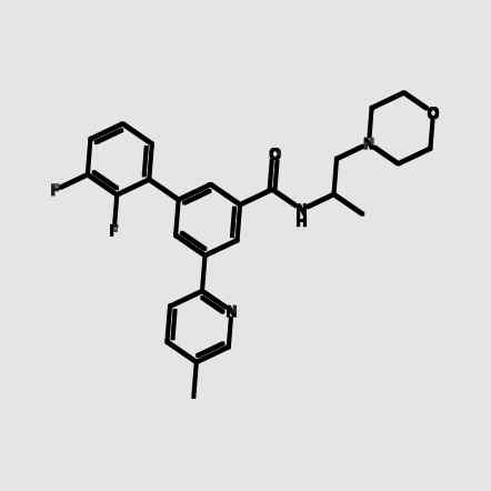 Cc1ccc(-c2cc(C(=O)NC(C)CN3CCOCC3)cc(-c3cccc(F)c3F)c2)nc1